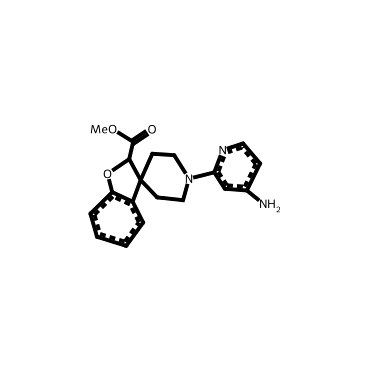 COC(=O)C1Oc2ccccc2C12CCN(c1cc(N)ccn1)CC2